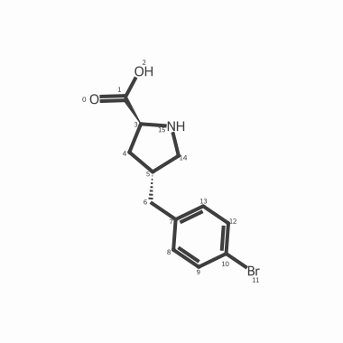 O=C(O)[C@@H]1C[C@@H](Cc2ccc(Br)cc2)CN1